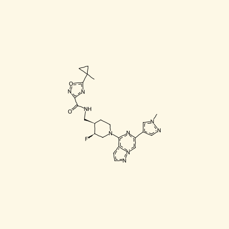 Cn1cc(-c2cn3nccc3c(N3CC[C@H](CNC(=O)c4noc(C5(C)CC5)n4)[C@H](F)C3)n2)cn1